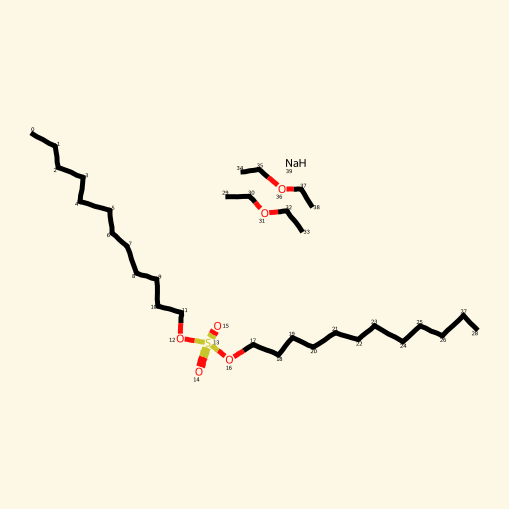 CCCCCCCCCCCCOS(=O)(=O)OCCCCCCCCCCCC.CCOCC.CCOCC.[NaH]